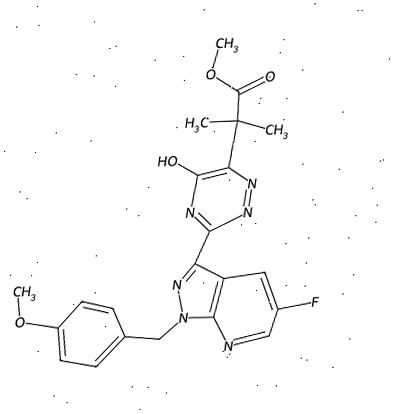 COC(=O)C(C)(C)c1nnc(-c2nn(Cc3ccc(OC)cc3)c3ncc(F)cc23)nc1O